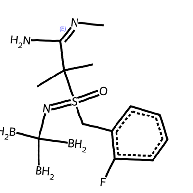 BC(B)(B)N=S(=O)(Cc1ccccc1F)C(C)(C)/C(N)=N\C